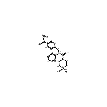 COC(=O)c1ccc(CN(C(=O)N2CCS(=O)(=O)CC2)c2ccccn2)cc1